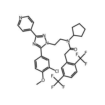 COc1ccc(-c2nc(-c3ccncc3)nn2CCN(C(=O)Cc2cc(C(F)(F)F)ccc2C(F)(F)F)C2CCCC2)cc1Cl